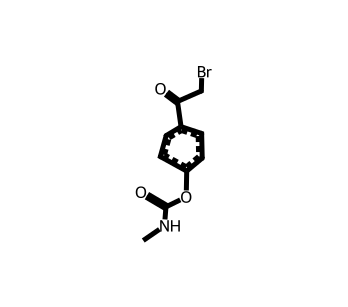 CNC(=O)Oc1ccc(C(=O)CBr)cc1